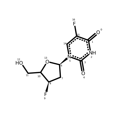 O=c1[nH]c(=O)n([C@H]2C[C@@H](F)C(CO)O2)cc1F